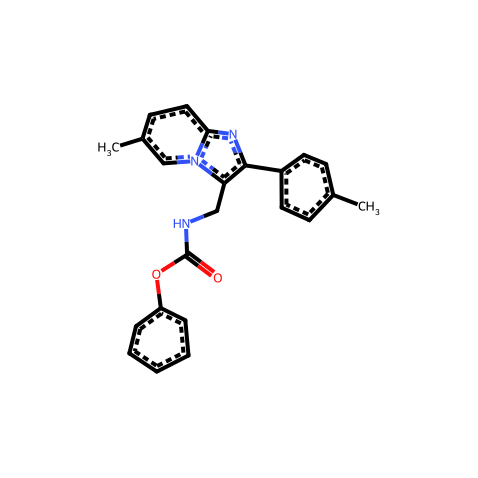 Cc1ccc(-c2nc3ccc(C)cn3c2CNC(=O)Oc2ccccc2)cc1